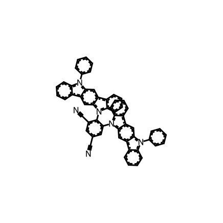 N#Cc1cc(C#N)c(-n2c3ccccc3c3cc4c(cc32)c2ccccc2n4-c2ccccc2)c(-n2c3ccccc3c3cc4c(cc32)c2ccccc2n4-c2ccccc2)c1